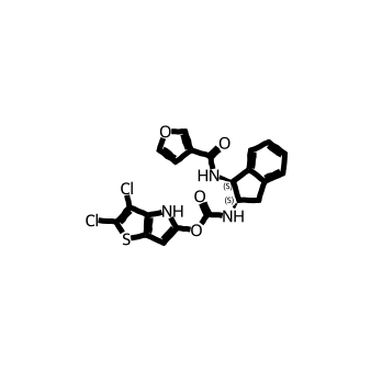 O=C(N[C@H]1Cc2ccccc2[C@@H]1NC(=O)c1ccoc1)Oc1cc2sc(Cl)c(Cl)c2[nH]1